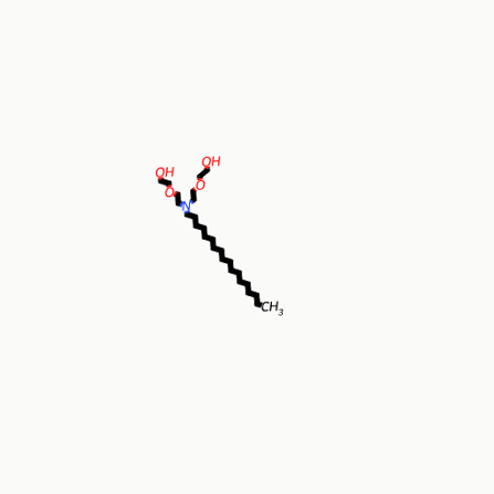 CCCCCCCCCCCCCCCCCCN(CCOCCO)CCOCCO